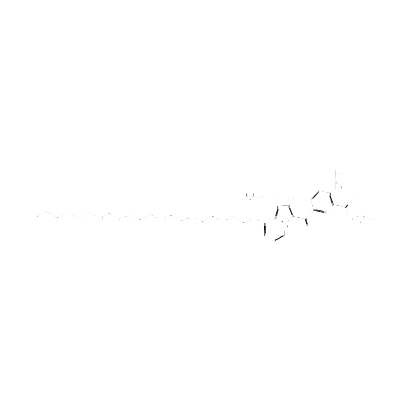 COC(=O)c1cc(C(=O)c2c(C)c(OC)c3c(OCCOCCOCCOCCOCCOCCOCCI)cccn23)ccc1N